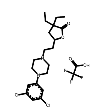 CCC1(CC)CC(CCN2CCN(c3cc(Cl)cc(Cl)c3)CC2)OC1=O.O=C(O)C(F)(F)F